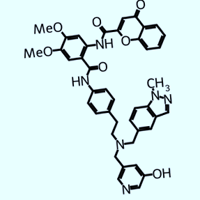 COc1cc(NC(=O)c2cc(=O)c3ccccc3o2)c(C(=O)Nc2ccc(CCN(Cc3cncc(O)c3)Cc3ccc4c(cnn4C)c3)cc2)cc1OC